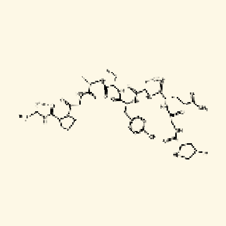 CCCCC[C@H](NC(=O)[C@@H]1CCCN1C(=O)CNC(=O)[C@H](C)NC(=O)[C@H](CC(C)C)NC(=O)[C@H](Cc1ccc(O)cc1)NC(=O)[C@H](CC(=O)O)NC(=O)[C@H](CCC(N)=O)NC(=O)CNC(=O)[C@@H]1C[C@@H](O)CN1)C(=O)O